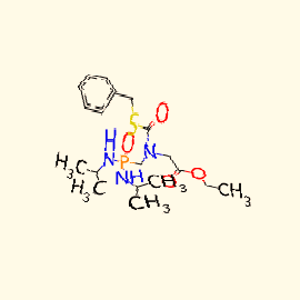 CCOC(=O)CN(CP(=O)(NC(C)C)NC(C)C)C(=O)SCc1ccccc1